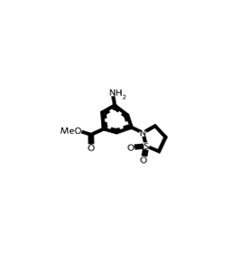 COC(=O)c1cc(N)cc(N2CCCS2(=O)=O)c1